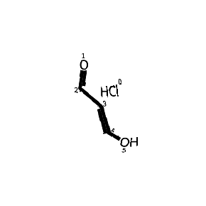 Cl.O=[C]C=CO